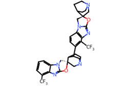 FC(F)(F)c1cccc2c1nc1n2C[C@]2(CN3CCC2C(c2ccc4c(nc5n4C[C@@]4(CN6CCC4CC6)O5)c2C(F)(F)F)C3)O1